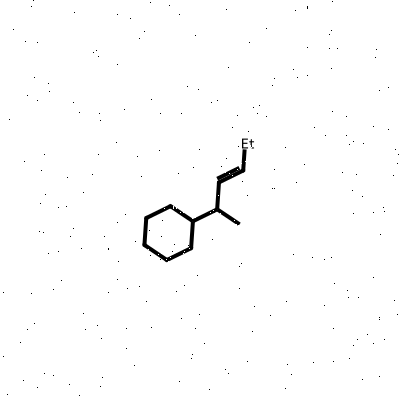 [CH2]CC=CC(C)C1CCCCC1